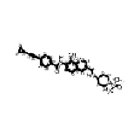 C=S(C)(=O)N1CCC(NCc2cnc3c(C)c(NC(=O)c4ccc(C#CC5CC5)cc4)ccc3c2)CC1